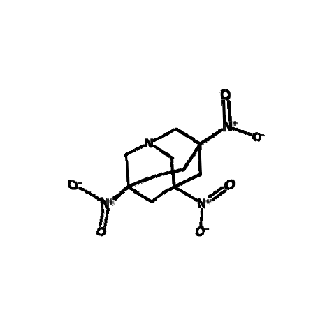 O=[N+]([O-])C12CN3CC([N+](=O)[O-])(C1)CC([N+](=O)[O-])(C3)C2